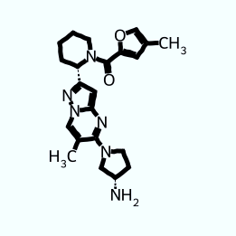 Cc1coc(C(=O)N2CCCC[C@H]2c2cc3nc(N4CC[C@H](N)C4)c(C)cn3n2)c1